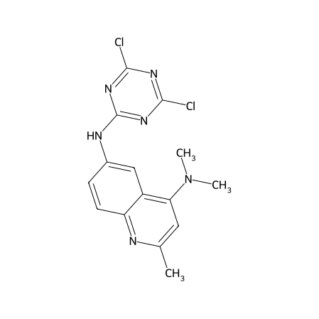 Cc1cc(N(C)C)c2cc(Nc3nc(Cl)nc(Cl)n3)ccc2n1